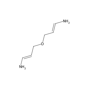 N/C=C/COC/C=C/N